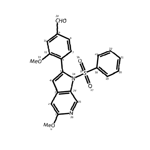 COc1cc2cc(-c3ccc(C=O)cc3OC)n(S(=O)(=O)c3ccccc3)c2cn1